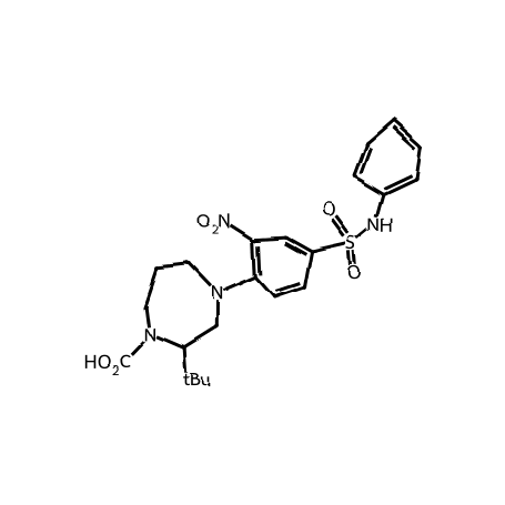 CC(C)(C)C1CN(c2ccc(S(=O)(=O)Nc3ccccc3)cc2[N+](=O)[O-])CCCN1C(=O)O